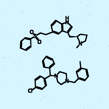 CN1CCC[C@@H]1Cc1c[nH]c2ccc(CCS(=O)(=O)c3ccccc3)cc12.Cc1cccc(CN2CCN(C(c3ccccc3)c3ccc(Cl)cc3)CC2)c1